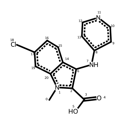 Cn1c(C(=O)O)c(Nc2ccncc2)c2ccc(Cl)cc21